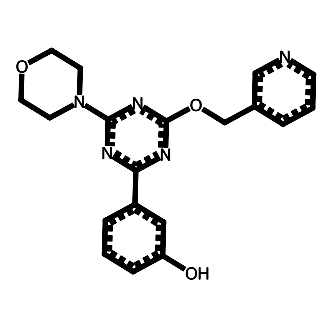 Oc1cccc(-c2nc(OCc3cccnc3)nc(N3CCOCC3)n2)c1